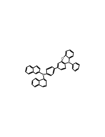 c1ccc(N2c3ccccc3Oc3cc(-c4ccc(N(c5ccc6ccccc6c5)c5cccc6ccccc56)cc4)ccc32)cc1